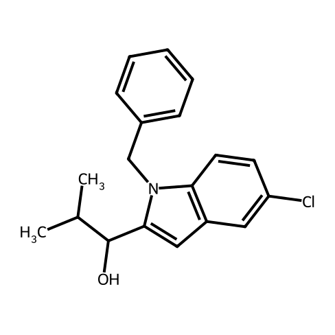 CC(C)C(O)c1cc2cc(Cl)ccc2n1Cc1ccccc1